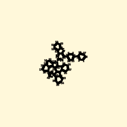 c1ccc(-c2ccc(-c3nc(-n4c5ccc6ccccc6c5c5c6c(c7ccccc7c54)-c4ccccc4C64CCCCC4)nc4c3sc3ccccc34)cc2)cc1